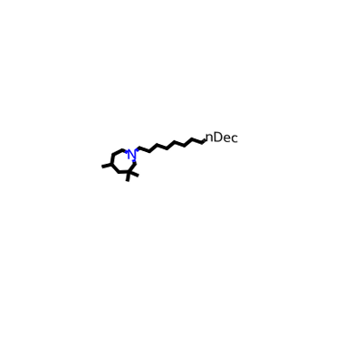 CCCCCCCCCCCCCCCCCCN1CCC(C)CC(C)(C)C1